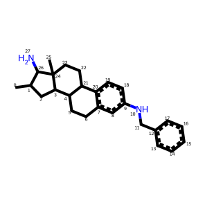 CC1CC2C3CCc4cc(NCc5ccccc5)ccc4C3CCC2(C)C1N